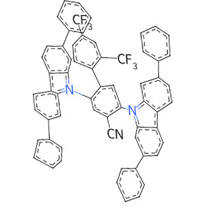 N#Cc1cc(-n2c3cc(-c4ccccc4)ccc3c3ccc(-c4ccccc4)cc32)c(-c2ccc(C(F)(F)F)cc2C(F)(F)F)cc1-n1c2cc(-c3ccccc3)ccc2c2ccc(-c3ccccc3)cc21